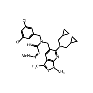 CN/N=N\C(=N)N(Cc1cc(Cl)cc(Cl)c1)Cc1cc2c(C)nn(C)c2nc1N(CC1CC1)CC1CC1